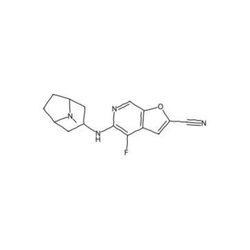 CN1C2CCC1CC(Nc1ncc3oc(C#N)cc3c1F)C2